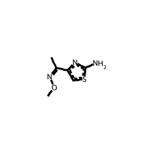 CO/N=C(/C)c1csc(N)n1